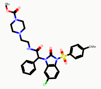 COc1ccc(S(=O)(=O)n2c(=O)n(C(C(=O)NCCN3CCN(C(=O)OC(C)(C)C)CC3)c3ccccc3)c3cc(Cl)ccc32)cc1